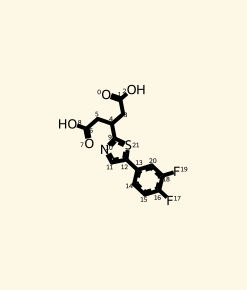 O=C(O)CC(CC(=O)O)c1ncc(-c2ccc(F)c(F)c2)s1